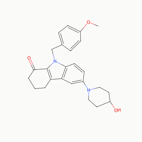 COc1ccc(Cn2c3c(c4cc(N5CCC(O)CC5)ccc42)CCCC3=O)cc1